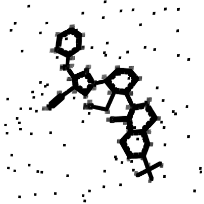 CC(C)(C)c1ccc2c(=O)n(-c3cccc(-n4cc(C#N)c(Nc5ccccn5)n4)c3CO)ncc2c1